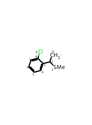 [CH2]C(SC)c1ccccc1Cl